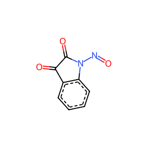 O=NN1C(=O)C(=O)c2ccccc21